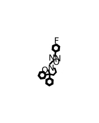 O=C1N(Cc2nc(-c3ccc(F)cc3)no2)CCCC1(c1ccccc1)c1ccccc1